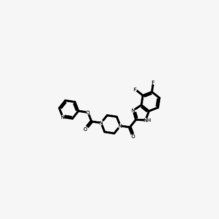 O=C(Oc1cccnc1)N1CCN(C(=O)c2nc3c(F)c(F)ccc3[nH]2)CC1